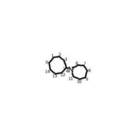 C1CCC[C](N2CCCCCC2)CCC1